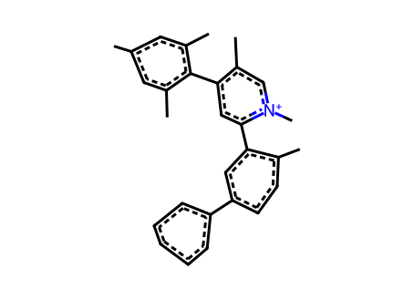 Cc1cc(C)c(-c2cc(-c3cc(-c4ccccc4)ccc3C)[n+](C)cc2C)c(C)c1